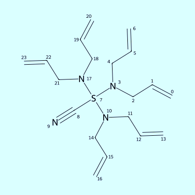 C=CCN(CC=C)S(C#N)(N(CC=C)CC=C)N(CC=C)CC=C